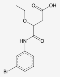 CCOC(CC(=O)O)C(=O)Nc1cccc(Br)c1